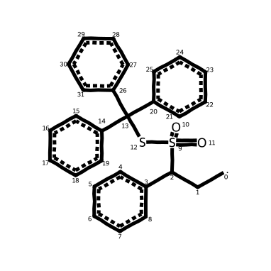 [CH2]CC(c1ccccc1)S(=O)(=O)SC(c1ccccc1)(c1ccccc1)c1ccccc1